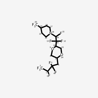 FC(C(F)(F)F)C(F)(F)CC1COC(C(F)(F)C(F)N2CCC(C(F)(F)F)CC2)CO1